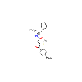 COc1ccc(C(=O)C(CC(=O)N[C@@H](Cc2ccccc2)C(=O)O)SC(C)=O)cc1